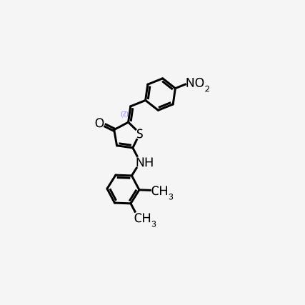 Cc1cccc(NC2=CC(=O)/C(=C/c3ccc([N+](=O)[O-])cc3)S2)c1C